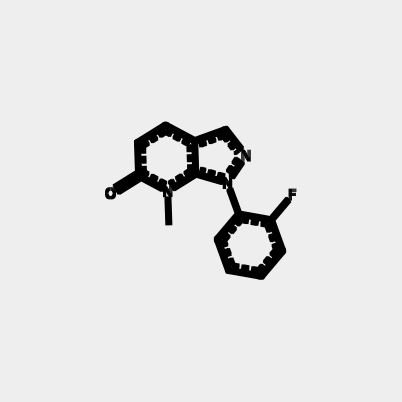 Cn1c(=O)ccc2cnn(-c3ccccc3F)c21